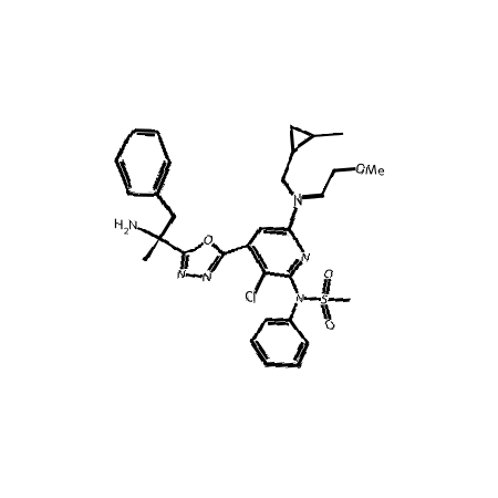 COCCN(CC1CC1C)c1cc(-c2nnc([C@](C)(N)Cc3ccccc3)o2)c(Cl)c(N(c2ccccc2)S(C)(=O)=O)n1